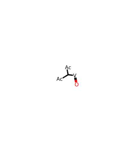 CC(=O)[CH]([V]=[O])C(C)=O